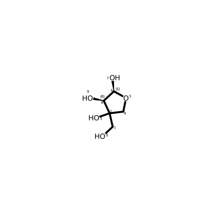 OCC1(O)CO[C@H](O)[C@@H]1O